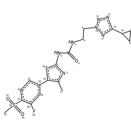 Cc1nc(NC(=O)NCCn2nnc(C3CC3)n2)sc1-c1ccc(S(C)(=O)=O)c(F)c1